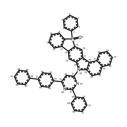 O=P1(c2ccccc2)c2ccccc2-c2cc3c(cc21)c1c2ccccc2ccc1n3-c1cc(-c2ccc(-c3ccccc3)cc2)nc(-c2ccccc2)n1